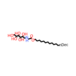 CCCCCCCCCCCCCCCCCCCCCCOC(=O)CNC[C@H](O)[C@@H](O)[C@H](O)[C@H](O)CO